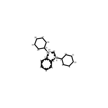 c1ccc2c(c1)n(C1CCCCC1)c[n+]2C1CCCCC1